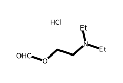 CCN(CC)CCOC=O.Cl